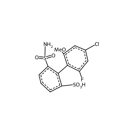 COc1cc(Cl)cc(F)c1-c1c(S(N)(=O)=O)cccc1S(=O)(=O)O